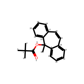 CC(C)(C)C(=O)OC1(C)c2ccccc2C=Cc2ccccc21